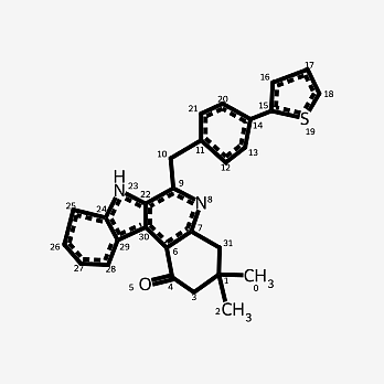 CC1(C)CC(=O)c2c(nc(Cc3ccc(-c4cccs4)cc3)c3[nH]c4ccccc4c23)C1